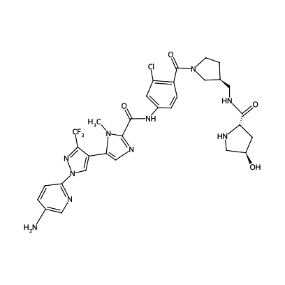 Cn1c(-c2cn(-c3ccc(N)cn3)nc2C(F)(F)F)cnc1C(=O)Nc1ccc(C(=O)N2CC[C@@H](CNC(=O)[C@@H]3C[C@@H](O)CN3)C2)c(Cl)c1